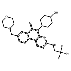 CCC(F)(F)CNc1ncc2c3ccc(CN4CCOCC4)cc3c(=O)n(C3CCC(O)CC3)c2n1